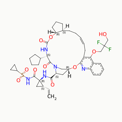 C=C[C@@H]1C[C@]1(NC(=O)[C@@H]1C[C@@H]2CN1C(=O)[C@H](C1CCCC1)NC(=O)O[C@@H]1CCC[C@H]1CCC=CCc1c(nc3ccccc3c1OCC(F)(F)CO)O2)C(=O)NS(=O)(=O)C1CC1